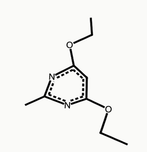 CCOc1cc(OCC)nc(C)n1